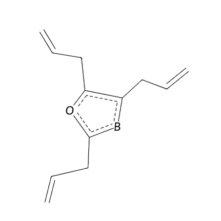 C=CCc1bc(CC=C)c(CC=C)o1